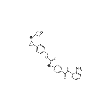 Nc1ccccc1NC(=O)c1ccc(NC(=O)OCc2ccc(C3C[C@@H]3NC3COC3)cc2)cc1